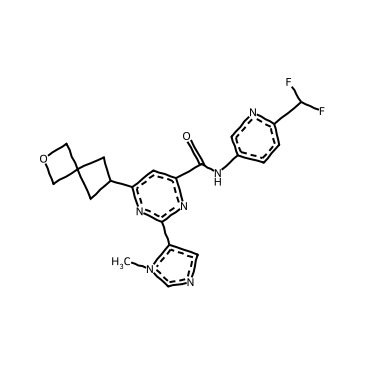 Cn1cncc1-c1nc(C(=O)Nc2ccc(C(F)F)nc2)cc(C2CC3(COC3)C2)n1